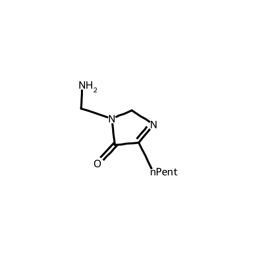 CCCCCC1=NCN(CN)C1=O